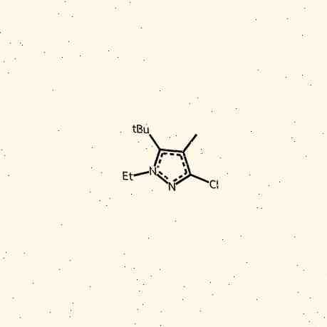 CCn1nc(Cl)c(C)c1C(C)(C)C